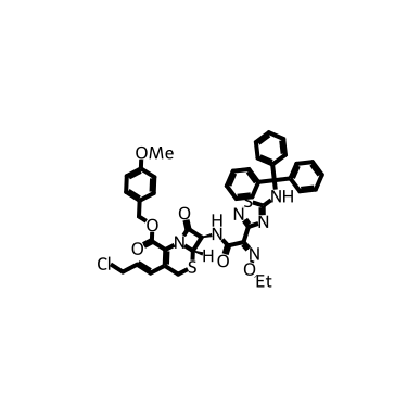 CCO/N=C(\C(=O)N[C@@H]1C(=O)N2C(C(=O)OCc3ccc(OC)cc3)=C(C=CCCl)CS[C@@H]12)c1nsc(NC(c2ccccc2)(c2ccccc2)c2ccccc2)n1